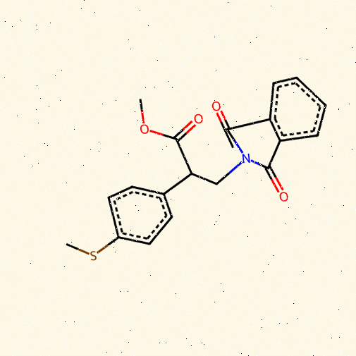 COC(=O)C(CN1C(=O)c2ccccc2C1=O)c1ccc(SC)cc1